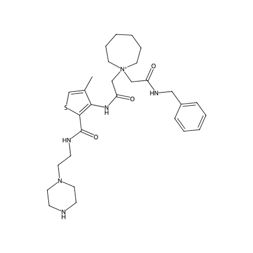 Cc1csc(C(=O)NCCN2CCNCC2)c1NC(=O)C[N+]1(CC(=O)NCc2ccccc2)CCCCCC1